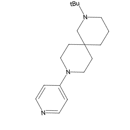 CC(C)(C)N1CCCC2(CCN(c3ccncc3)CC2)C1